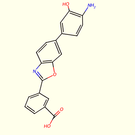 Nc1ccc(-c2ccc3nc(-c4cccc(C(=O)O)c4)oc3c2)cc1O